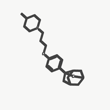 CC1CCN(CCCOc2ccc(C34CC5CC(CC3C5)C4)cc2)CC1